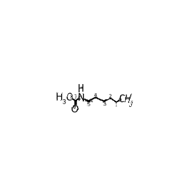 CCCCC[CH]NC(C)=O